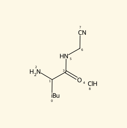 CCC(C)C(N)C(=O)NCC#N.Cl